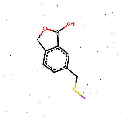 OB1OCc2ccc(CSI)cc21